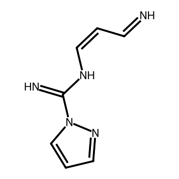 N=C/C=C\NC(=N)n1cccn1